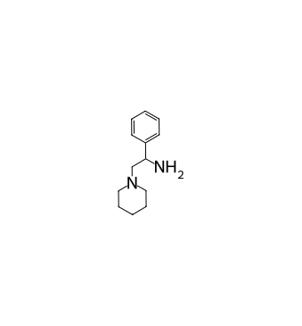 NC(CN1CCCCC1)c1ccccc1